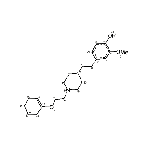 COc1cc(CCN2CCN(CCOC3=CCCC=C3)CC2)ccc1O